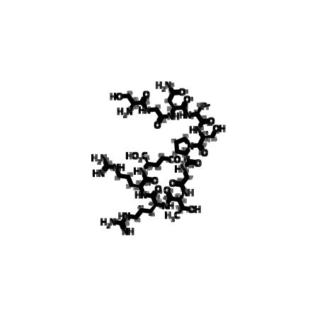 CC(C)[C@H](NC(=O)[C@H](CC(N)=O)NC(=O)CNC(=O)[C@@H](N)CO)C(=O)N[C@@H](CO)C(=O)N1CCC[C@H]1C(=O)NCC(=O)N[C@H](C(=O)N[C@@H](CCCNC(=N)N)C(=O)N[C@@H](CCCNC(=N)N)C(=O)N[C@@H](CCC(=O)O)C(=O)O)[C@@H](C)O